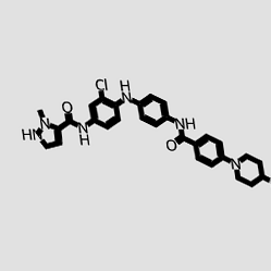 CN1NCC=C1C(=O)Nc1ccc(Nc2ccc(NC(=O)c3ccc(N4CCC(O)CC4)cc3)cc2)c(Cl)c1